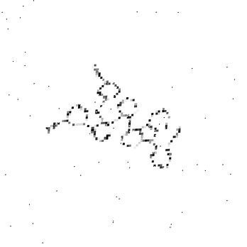 N#CC1=CCCC(n2c3ccc(C#N)cc3c3cccc(C4=C(C5=CCCc6c5c5c(n6-c6ccccc6C#N)CCC=C5)CCC=C4)c32)=C1